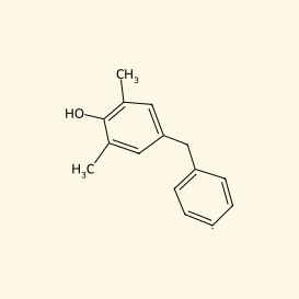 Cc1cc(Cc2cc[c]cc2)cc(C)c1O